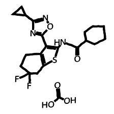 O=C(Nc1sc2c(c1-c1nc(C3CC3)no1)CCC(F)(F)C2)C1CCCCC1.O=C(O)O